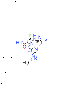 Cc1cnn(-c2cncc(Nc3nc(N[C@@H]4CCCC[C@@H]4N)c(F)cc3C(N)=O)c2)c1